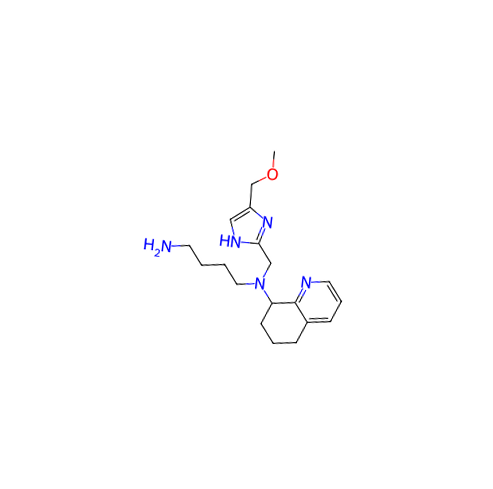 COCc1c[nH]c(CN(CCCCN)C2CCCc3cccnc32)n1